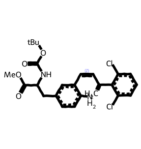 C=C(/C=C\c1cc(CC(NC(=O)OC(C)(C)C)C(=O)OC)ccc1N)c1c(Cl)cccc1Cl